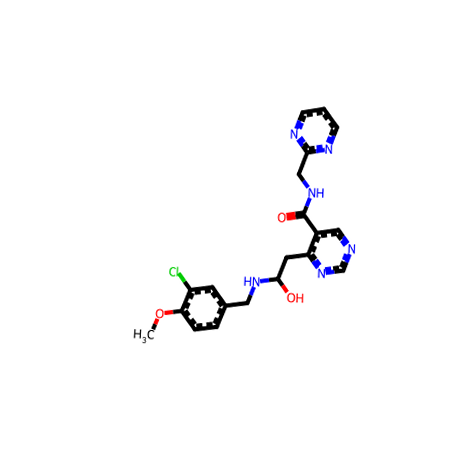 COc1ccc(CNC(O)Cc2ncncc2C(=O)NCc2ncccn2)cc1Cl